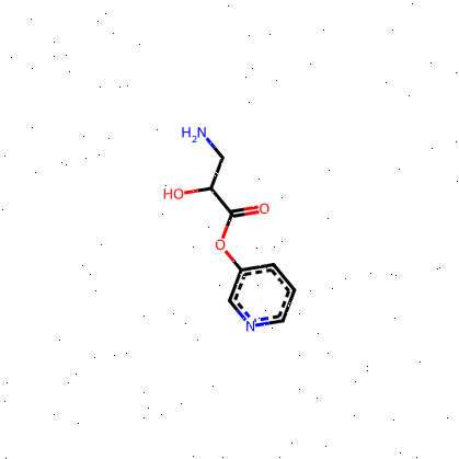 NCC(O)C(=O)Oc1cccnc1